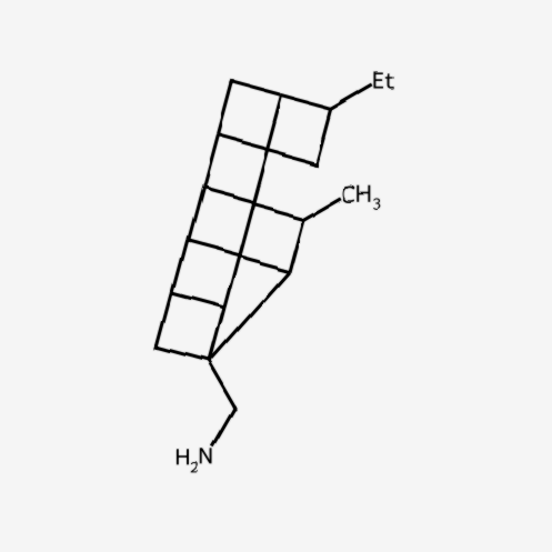 CCC1CC23C1CC2C1C2C4CC5(CN)C4C24C5C(C)C134